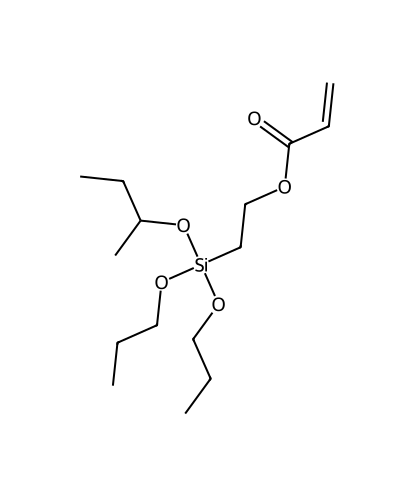 C=CC(=O)OCC[Si](OCCC)(OCCC)OC(C)CC